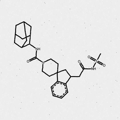 CS(=O)(=O)NC(=O)CC1CC2(CCN(C(=O)NC3C4CC5CC(C4)CC3C5)CC2)c2ccccc21